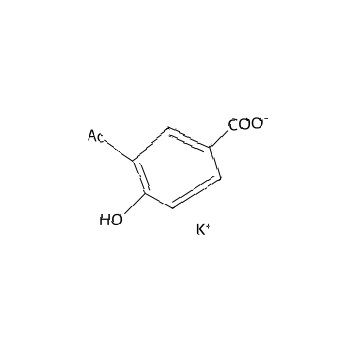 CC(=O)c1cc(C(=O)[O-])ccc1O.[K+]